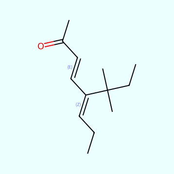 CC/C=C(/C=C/C(C)=O)C(C)(C)CC